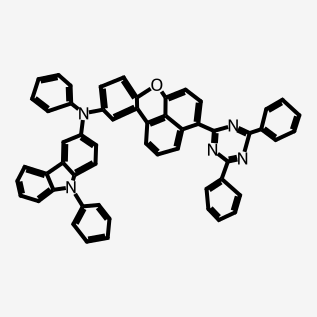 c1ccc(-c2nc(-c3ccccc3)nc(-c3ccc4c5c(cccc35)-c3cc(N(c5ccccc5)c5ccc6c(c5)c5ccccc5n6-c5ccccc5)ccc3O4)n2)cc1